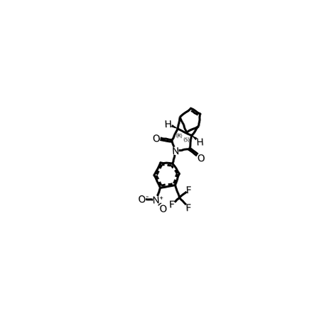 O=C1[C@@H]2C3C=CC(C3)[C@@H]2C(=O)N1c1ccc([N+](=O)[O-])c(C(F)(F)F)c1